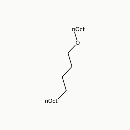 [CH2]CCCCCCCOCCCCCCCCCCCC